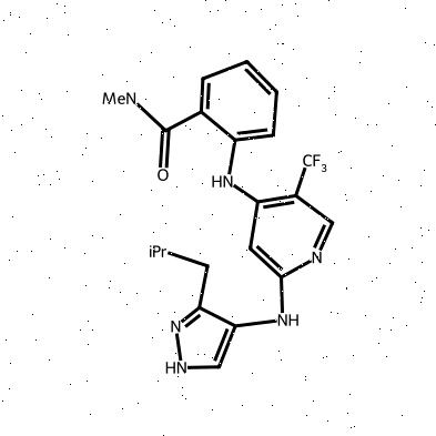 CNC(=O)c1ccccc1Nc1cc(Nc2c[nH]nc2CC(C)C)ncc1C(F)(F)F